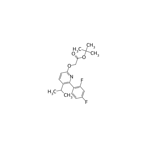 CC(C)c1ccc(OCC(=O)OC(C)(C)C)nc1-c1ccc(F)cc1F